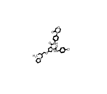 CCC(COC1C[C@H](C(=O)Nc2ccc(N3CCOCC3=O)cc2)N(C(=O)Nc2ccc(Cl)cc2)C1)CN1CCCC1